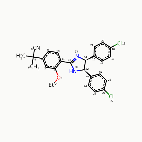 CCOc1cc(C(C)(C)C#N)ccc1C1=N[C@@H](c2ccc(Cl)cc2)[C@@H](c2ccc(Cl)cc2)N1